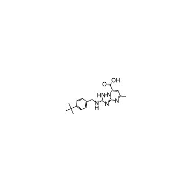 CC1=NC2=NC(NCc3ccc(C(C)(C)C)cc3)NN2C(C(=O)O)=C1